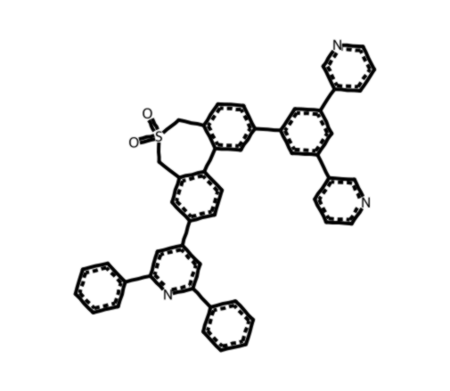 O=S1(=O)Cc2cc(-c3cc(-c4ccccc4)nc(-c4ccccc4)c3)ccc2-c2cc(-c3cc(-c4cccnc4)cc(-c4cccnc4)c3)ccc2C1